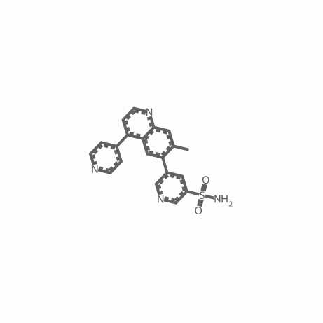 Cc1cc2nccc(-c3ccncc3)c2cc1-c1cncc(S(N)(=O)=O)c1